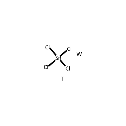 [Cl][Sn]([Cl])([Cl])[Cl].[Ti].[W]